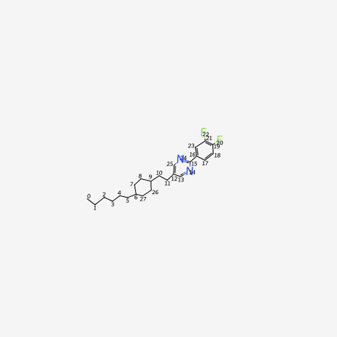 CCCCCCC1CCC(CCc2cnc(-c3ccc(F)c(F)c3)nc2)CC1